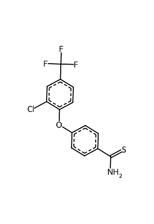 NC(=S)c1ccc(Oc2ccc(C(F)(F)F)cc2Cl)cc1